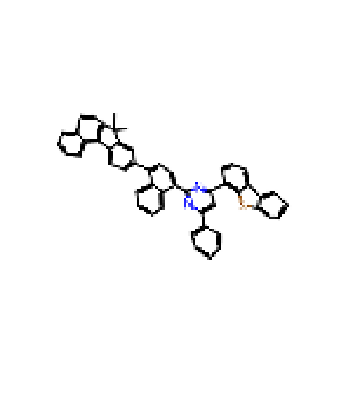 CC1(C)c2cc(-c3ccc(-c4nc(-c5ccccc5)cc(-c5cccc6c5sc5ccccc56)n4)c4ccccc34)ccc2-c2c1ccc1ccccc21